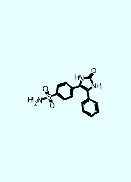 NS(=O)(=O)c1ccc(-c2[nH]c(=O)[nH]c2-c2ccccc2)cc1